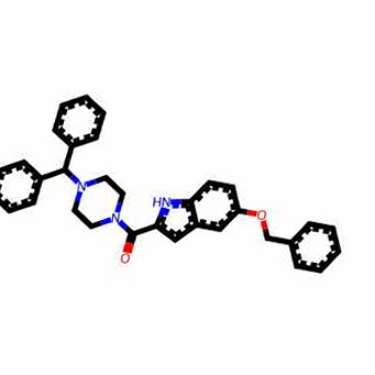 O=C(c1cc2cc(OCc3ccccc3)ccc2[nH]1)N1CCN(C(c2ccccc2)c2ccccc2)CC1